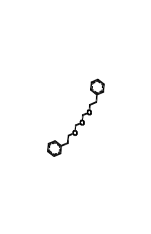 c1ccc(CCOCOCOCCc2ccccc2)cc1